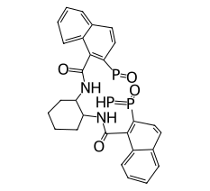 O=Pc1ccc2ccccc2c1C(=O)NC1CCCCC1NC(=O)c1c(P(=O)=P)ccc2ccccc12